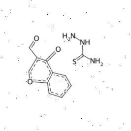 NNC(N)=S.O=Cc1coc2ccccc2c1=O